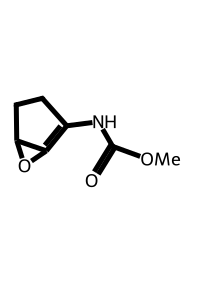 COC(=O)NC1=C2OC2CC1